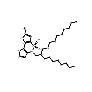 CCCCCCCCCCC(CCCCCCCC)CN1c2ccsc2-c2sc(Br)cc2S1(=O)=O